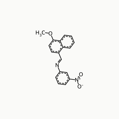 COc1ccc(C=Nc2cccc([N+](=O)[O-])c2)c2ccccc12